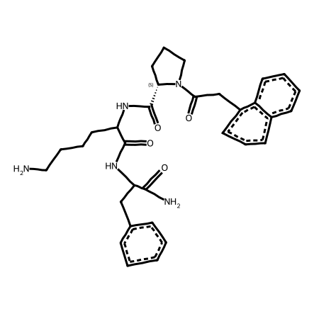 NCCCCC(NC(=O)[C@@H]1CCCN1C(=O)Cc1cccc2ccccc12)C(=O)NC(Cc1ccccc1)C(N)=O